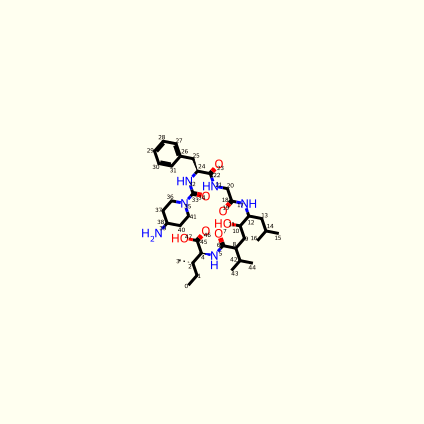 CC[C@H](C)[C@H](NC(=O)C(CC(O)C(CC(C)C)NC(=O)CNC(=O)[C@H](Cc1ccccc1)NC(=O)N1CCC(N)CC1)C(C)C)C(=O)O